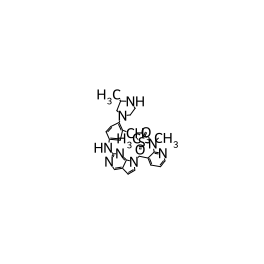 Cc1cc(Nc2ncc3ccn(Cc4cccnc4N(C)S(C)(=O)=O)c3n2)ccc1N1CCN[C@H](C)C1